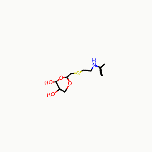 C=C(C)NCCSCC1OCC(O)C(O)O1